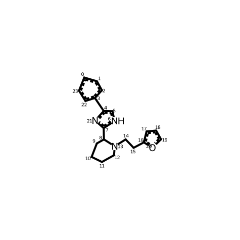 c1ccc(-c2c[nH]c(C3CCCCN3CCc3ccco3)n2)cc1